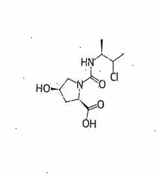 CC(Cl)[C@H](C)NC(=O)N1C[C@H](O)C[C@@H]1C(=O)O